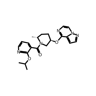 CC(C)Oc1ncccc1C(=O)N1C[C@H](Oc2nccn3nccc23)CC[C@H]1C